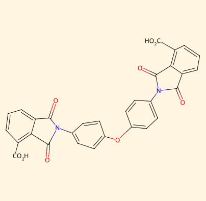 O=C(O)c1cccc2c1C(=O)N(c1ccc(Oc3ccc(N4C(=O)c5cccc(C(=O)O)c5C4=O)cc3)cc1)C2=O